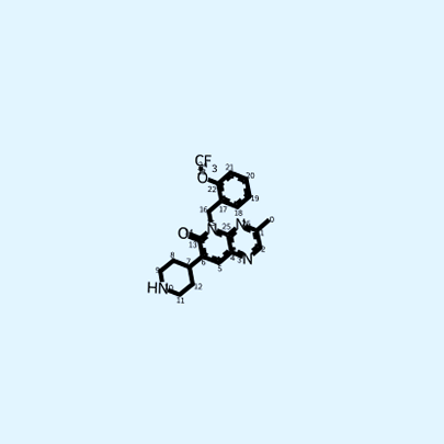 Cc1cnc2cc(C3CCNCC3)c(=O)n(Cc3ccccc3OC(F)(F)F)c2n1